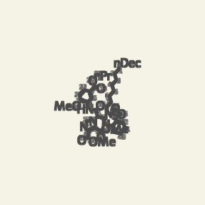 CCCCCCCCCCCCCCCCCCN1C(C(C(=O)Nc2cc(C(=O)OCCC)ccc2OC)n2cnc(C(=O)OC)c2C(=O)OC)=Nc2ccccc2S1(=O)=O